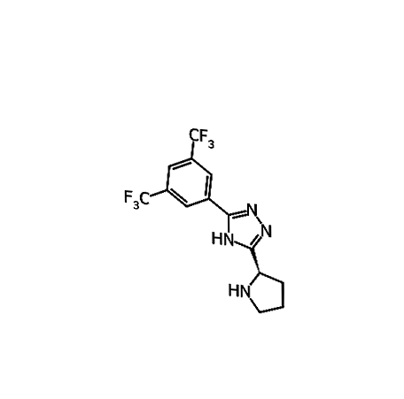 FC(F)(F)c1cc(-c2nnc([C@H]3CCCN3)[nH]2)cc(C(F)(F)F)c1